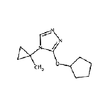 CC1(n2cnnc2OC2CCCC2)CC1